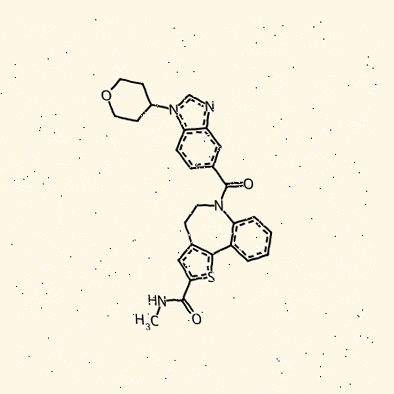 CNC(=O)c1cc2c(s1)-c1ccccc1N(C(=O)c1ccc3c(c1)ncn3C1CCOCC1)CC2